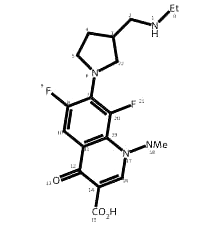 CCNCC1CCN(c2c(F)cc3c(=O)c(C(=O)O)cn(NC)c3c2F)C1